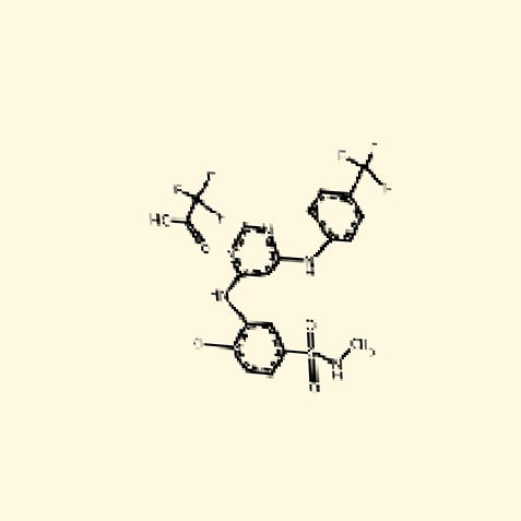 CNS(=O)(=O)c1ccc(Cl)c(Nc2cc(Nc3ccc(C(F)(F)F)cc3)ncn2)c1.O=C(O)C(F)(F)F